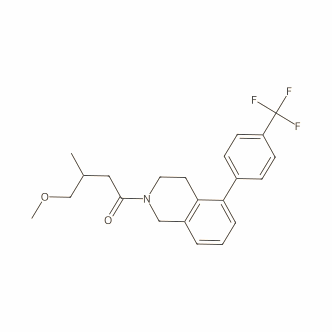 COCC(C)CC(=O)N1CCc2c(cccc2-c2ccc(C(F)(F)F)cc2)C1